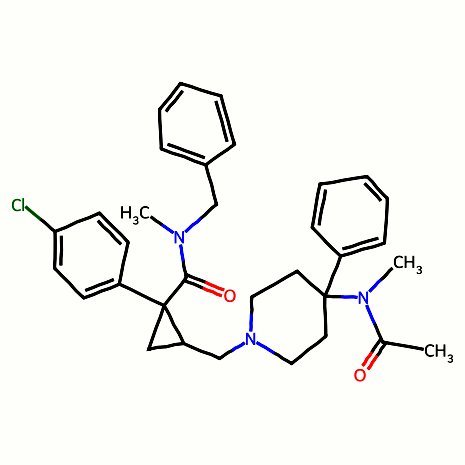 CC(=O)N(C)C1(c2ccccc2)CCN(CC2CC2(C(=O)N(C)Cc2ccccc2)c2ccc(Cl)cc2)CC1